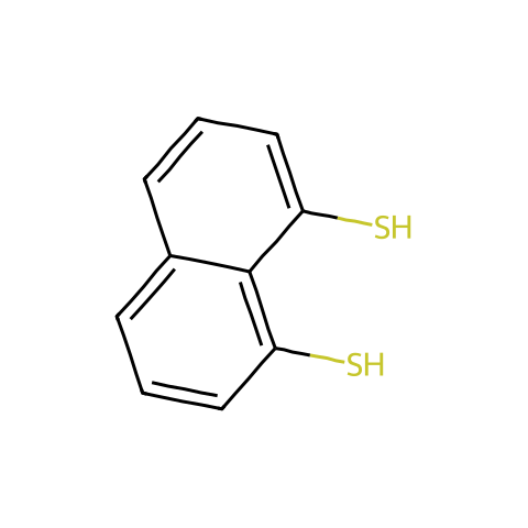 Sc1cccc2cccc(S)c12